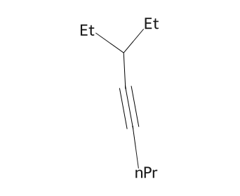 [CH2]CC(C#CCCC)CC